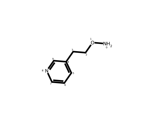 NOCCc1cccnc1